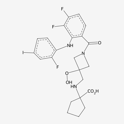 O=C(c1ccc(F)c(F)c1Nc1ccc(I)cc1F)N1CC(CNC2(C(=O)O)CCCC2)(OO)C1